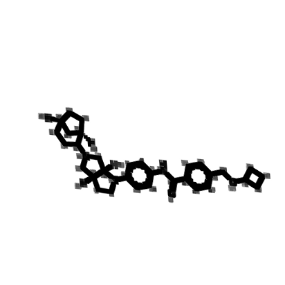 O=C(Nc1ccc(N2CC[C@@H]3CN(C4CC[C@@H]5CC[C@@H]4C5)C[C@@H]32)cc1)c1ccc(COC2CCC2)cc1